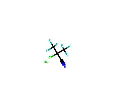 Cl.N#CC(Cl)(C(F)(F)F)C(F)(F)F